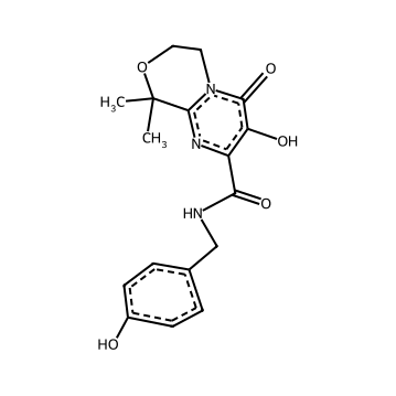 CC1(C)OCCn2c1nc(C(=O)NCc1ccc(O)cc1)c(O)c2=O